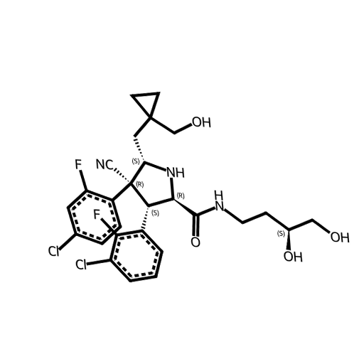 N#C[C@]1(c2ccc(Cl)cc2F)[C@H](CC2(CO)CC2)N[C@@H](C(=O)NCC[C@H](O)CO)[C@@H]1c1cccc(Cl)c1F